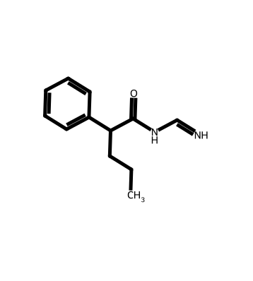 CCCC(C(=O)NC=N)c1ccccc1